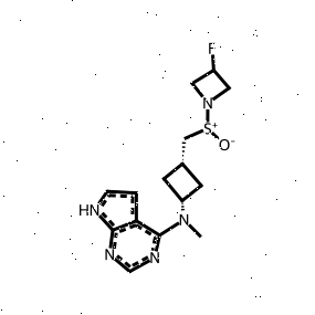 CN(c1ncnc2[nH]ccc12)[C@H]1C[C@@H](C[S+]([O-])N2CC(F)C2)C1